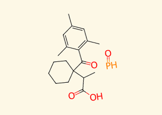 Cc1cc(C)c(C(=O)C2(C(C)C(=O)O)CCCCC2)c(C)c1.O=P